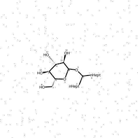 CCCCCCCC(CCCCCCC)OC1O[C@H](CO)[C@@H](O)[C@H](O)[C@H]1O